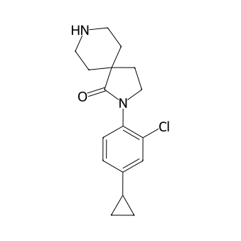 O=C1N(c2ccc(C3CC3)cc2Cl)CCC12CCNCC2